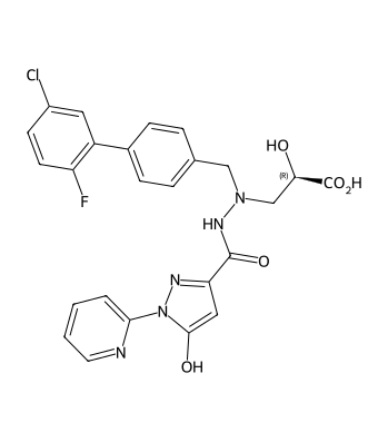 O=C(NN(Cc1ccc(-c2cc(Cl)ccc2F)cc1)C[C@@H](O)C(=O)O)c1cc(O)n(-c2ccccn2)n1